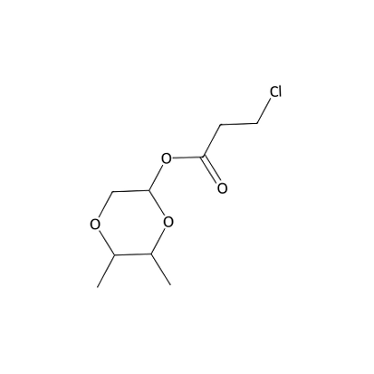 CC1OCC(OC(=O)CCCl)OC1C